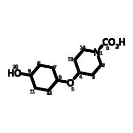 O=C(O)N1CCC(OC2CCC(O)CC2)CC1